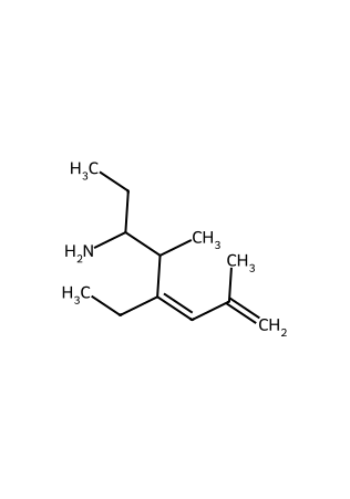 C=C(C)C=C(CC)C(C)C(N)CC